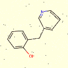 Oc1ccccc1Cc1cccnc1